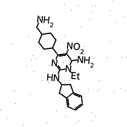 CCN1C(NC2Cc3ccccc3C2)=NC(C2CCC(CN)CC2)=C([N+](=O)[O-])C1N